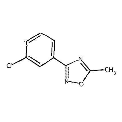 Cc1nc(-c2cc[c]c(Cl)c2)no1